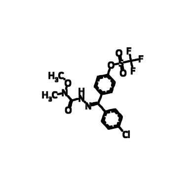 CON(C)C(=O)NN=C(c1ccc(Cl)cc1)c1ccc(OS(=O)(=O)C(F)(F)F)cc1